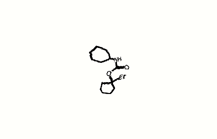 CCC1(OC(=O)NC2CCCCC2)CCCCC1